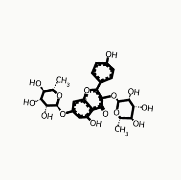 C[C@@H]1O[C@@H](Oc2cc(O)c3c(=O)c(O[C@@H]4O[C@@H](C)[C@H](O)[C@@H](O)[C@H]4O)c(-c4ccc(O)cc4)oc3c2)[C@H](O)[C@H](O)[C@H]1O